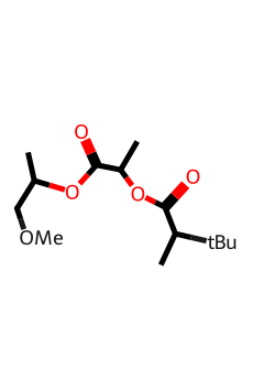 COCC(C)OC(=O)C(C)OC(=O)C(C)C(C)(C)C